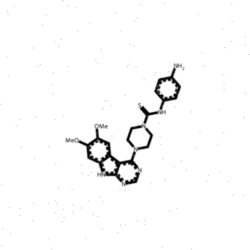 COc1cc2[nH]c3ncnc(N4CCN(C(=S)Nc5ccc(N)cc5)CC4)c3c2cc1OC